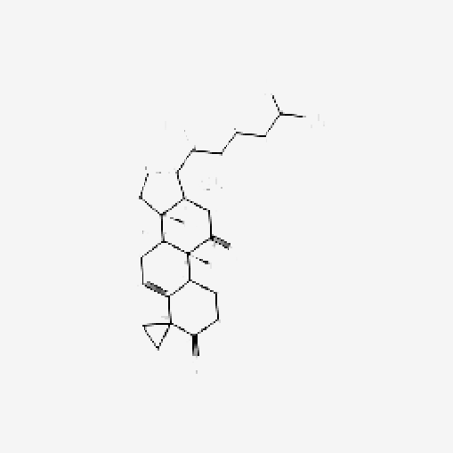 CC(C)CCC[C@@H](C)[C@H]1CC[C@H]2[C@@H]3CC=C4C5(CC5)C(=O)CC[C@]4(C)[C@H]3C(=O)C[C@]12C